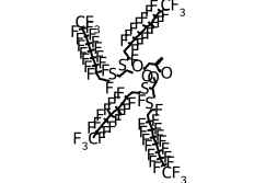 C=C(CC(=O)OCC(CSC(F)CC(F)(F)C(F)(F)C(F)(F)C(F)(F)C(F)(F)C(F)(F)C(F)(F)C(F)(F)F)SC(F)CC(F)(F)C(F)(F)C(F)(F)C(F)(F)C(F)(F)C(F)(F)C(F)(F)C(F)(F)F)C(=O)OCC(CSC(F)CC(F)(F)C(F)(F)C(F)(F)C(F)(F)C(F)(F)C(F)(F)C(F)(F)C(F)(F)F)SC(F)CC(F)(F)C(F)(F)C(F)(F)C(F)(F)C(F)(F)C(F)(F)C(F)(F)C(F)(F)F